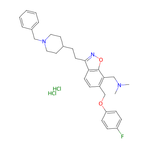 CN(C)Cc1c(COc2ccc(F)cc2)ccc2c(CCC3CCN(Cc4ccccc4)CC3)noc12.Cl.Cl